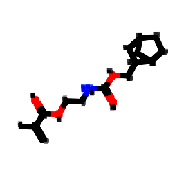 C=C(C)C(=O)OCCNC(=O)OCC1CC2CCC1C2